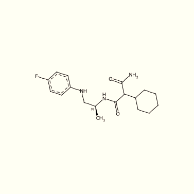 C[C@@H](CNc1ccc(F)cc1)NC(=O)C(C(N)=O)C1CCCCC1